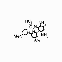 CCCc1cc(N2CCCC(NC)C2)nc(-c2c(N)ccc(N)c2[N+](=O)[O-])n1.Cl.Cl